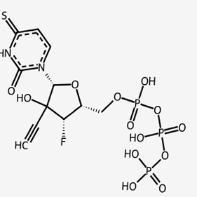 C#CC1(O)[C@@H](F)[C@@H](COP(=O)(O)OP(=O)(O)OP(=O)(O)O)O[C@H]1n1ccc(=S)[nH]c1=O